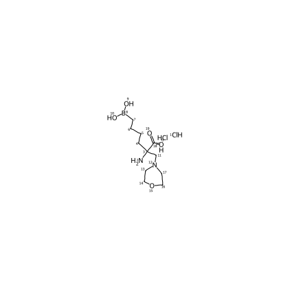 Cl.Cl.NC(CCCCB(O)O)(CN1CCOCC1)C(=O)O